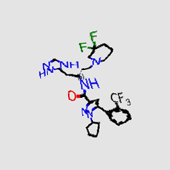 O=C(N[C@@H](CCN1CCCC(F)(F)C1)CC1NC=NN1)c1cc(-c2ccccc2C(F)(F)F)n(C2CCCC2)n1